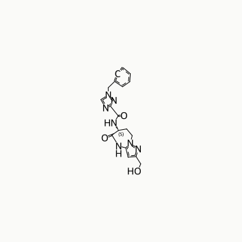 O=C(N[C@H]1CCn2nc(CO)cc2NC1=O)c1ncn(Cc2ccccc2)n1